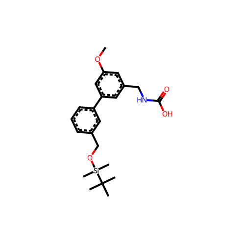 COc1cc(CNC(=O)O)cc(-c2cccc(CO[Si](C)(C)C(C)(C)C)c2)c1